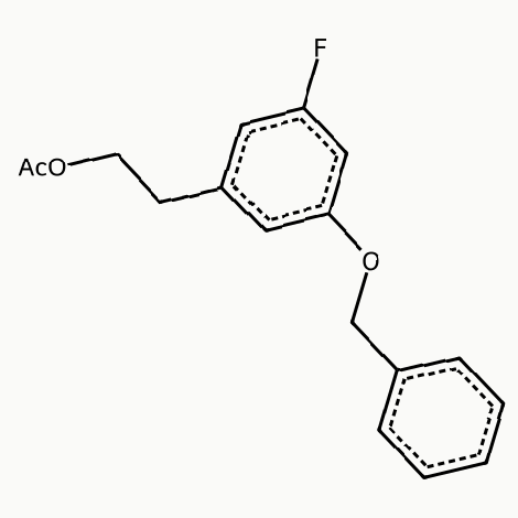 CC(=O)OCCc1cc(F)cc(OCc2ccccc2)c1